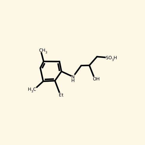 CCc1c(C)cc(C)cc1NCC(O)CS(=O)(=O)O